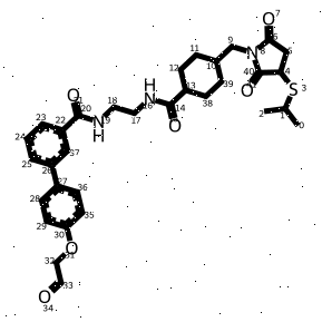 CC(C)SC1CC(=O)N(CC2CCC(C(=O)NCCNC(=O)c3cccc(-c4ccc(OCC=O)cc4)c3)CC2)C1=O